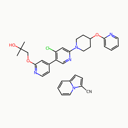 CC(C)(O)COc1cc(-c2cnc(N3CCC(Oc4ccccn4)CC3)cc2Cl)ccn1.N#Cc1ccc2ccccn12